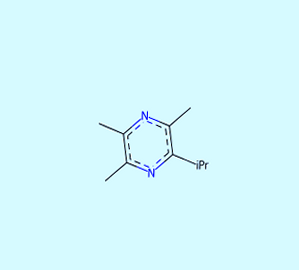 Cc1nc(C)c(C(C)C)nc1C